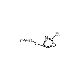 [CH2]Cc1nc(CCCCCC)co1